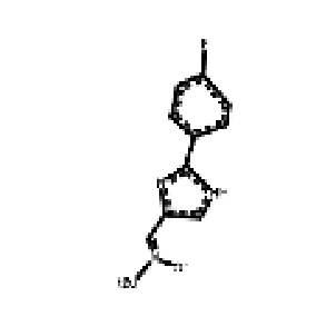 CC(C)(C)/[N+]([O-])=C/c1c[nH]c(-c2ccc(F)cc2)n1